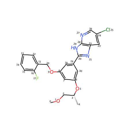 COC[C@@H](C)Oc1cc(OCc2ccccc2F)cc(-c2nc3cc(Cl)cnc3[nH]2)c1